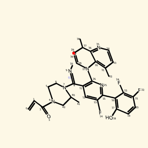 C=CC(=O)N1CCN(/C(=N/C)c2cc(F)c(-c3c(O)ccc(F)c3F)nc2N(C=O)c2c(C)ccnc2C(C)C)C(C)C1